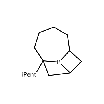 CCCC(C)C12CCCCC3CC(C1)B32